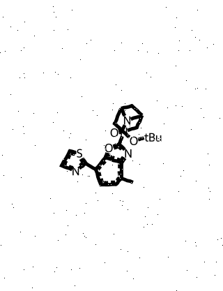 Cc1ccc(-c2nccs2)c2oc(N3CC4CC(C3)N4C(=O)OC(C)(C)C)nc12